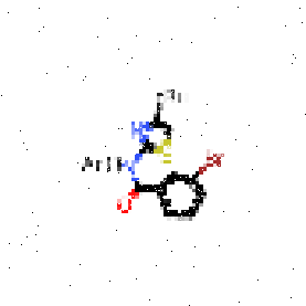 CC(=O)ON(C(=O)c1cccc(Br)c1)c1nc(C(C)(C)C)cs1